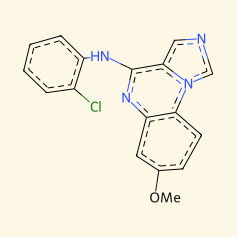 COc1ccc2c(c1)nc(Nc1ccccc1Cl)c1cncn12